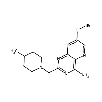 CC1CCN(Cc2nc(N)c3ncc(SC(C)(C)C)cc3n2)CC1